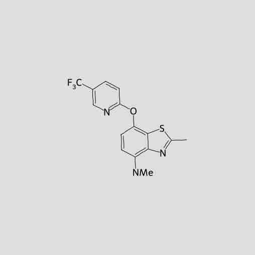 CNc1ccc(Oc2ccc(C(F)(F)F)cn2)c2sc(C)nc12